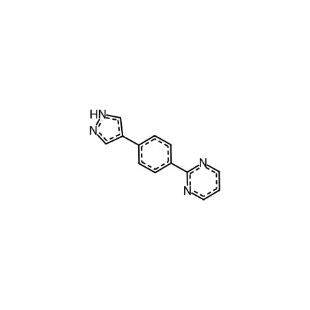 c1cnc(-c2ccc(-c3cn[nH]c3)cc2)nc1